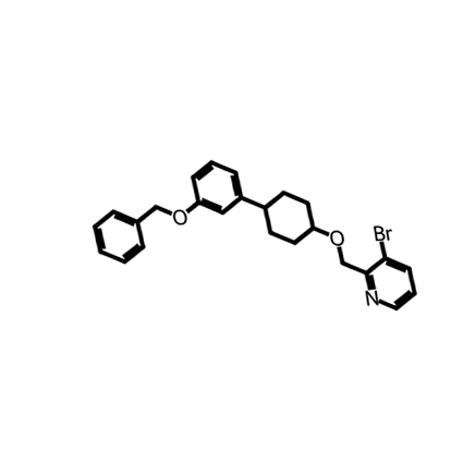 Brc1cccnc1COC1CCC(c2cccc(OCc3ccccc3)c2)CC1